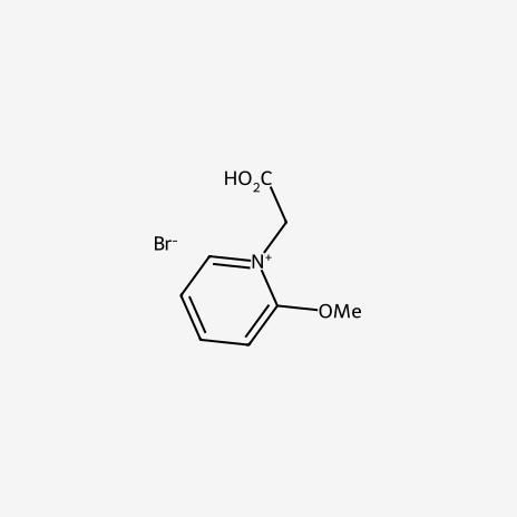 COc1cccc[n+]1CC(=O)O.[Br-]